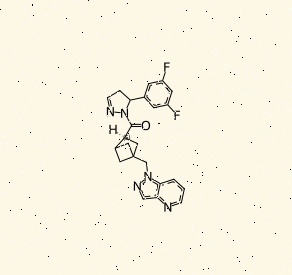 O=C([C@H]1CC2(Cn3ncc4ncccc43)CC1C2)N1N=CCC1c1cc(F)cc(F)c1